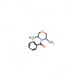 CC1COCC(C)N1C(=O)c1ccccc1